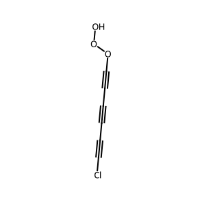 OOOC#CC#CC#CCl